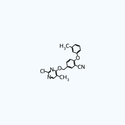 Cc1cccc(Oc2ccc(COc3nc(Cl)ncc3C)cc2C#N)c1